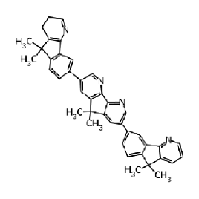 CC1(C)C2=C(N=CCC2)c2cc(-c3cnc4c(c3)C(C)(C)c3cc(-c5ccc6c(c5)-c5ncccc5C6(C)C)cnc3-4)ccc21